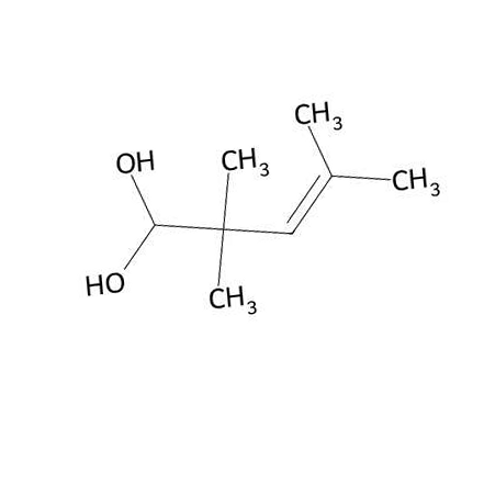 CC(C)=CC(C)(C)C(O)O